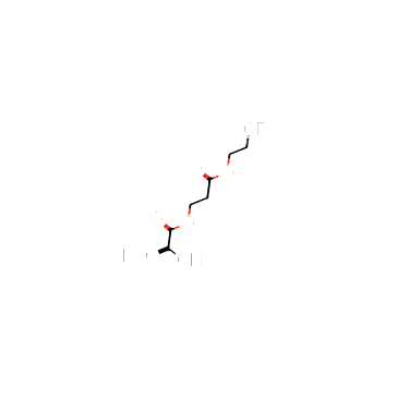 C=C(C)C(=O)OCCC(=O)OCCC(F)(F)F